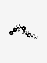 C=C(NC)N1CCC(CNC(=O)c2cccc([C@@H](CO)NC(=O)c3ccc(-c4ccncc4)cc3)c2)CC1